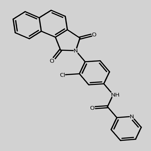 O=C(Nc1ccc(N2C(=O)c3ccc4ccccc4c3C2=O)c(Cl)c1)c1ccccn1